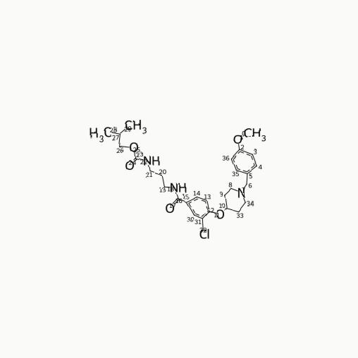 COc1ccc(CN2CCC(Oc3ccc(C(=O)NCCCNC(=O)OCC(C)C)cc3Cl)CC2)cc1